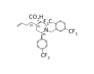 C=CC[C@H](C(=O)O)[C@H]1CCN(Cc2cc(C(F)(F)F)ccc2C(F)(F)F)[C@@H](c2ccc(C(F)(F)F)cc2)C1